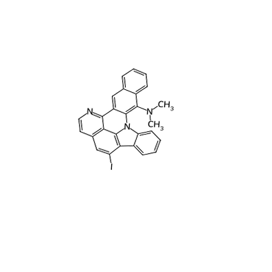 CN(C)c1c2ccccc2cc2c3nccc4cc(I)c5c6ccccc6n(c12)c5c43